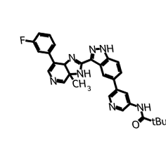 CC(C)(C)C(=O)Nc1cncc(-c2ccc3[nH]nc(C4=NC5C(c6cccc(F)c6)=CN=CC5(C)N4)c3c2)c1